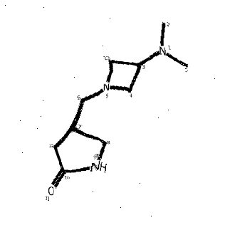 CN(C)C1CN(CC2CNC(=O)C2)C1